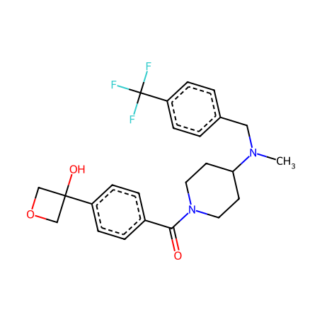 CN(Cc1ccc(C(F)(F)F)cc1)C1CCN(C(=O)c2ccc(C3(O)COC3)cc2)CC1